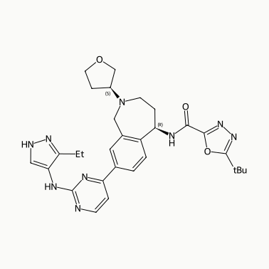 CCc1n[nH]cc1Nc1nccc(-c2ccc3c(c2)CN([C@H]2CCOC2)CC[C@H]3NC(=O)c2nnc(C(C)(C)C)o2)n1